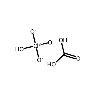 O=C(O)O.[O-][Cl+3]([O-])([O-])O